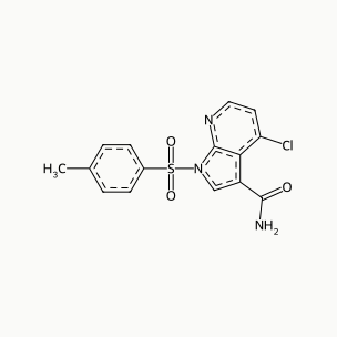 Cc1ccc(S(=O)(=O)n2cc(C(N)=O)c3c(Cl)ccnc32)cc1